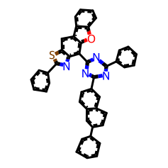 c1ccc(-c2ccc3cc(-c4nc(-c5ccccc5)nc(-c5c6nc(-c7ccccc7)sc6cc6c5oc5ccccc56)n4)ccc3c2)cc1